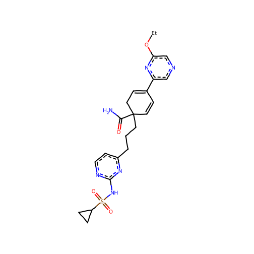 CCOc1cncc(C2=CCC(CCCc3ccnc(NS(=O)(=O)C4CC4)n3)(C(N)=O)C=C2)n1